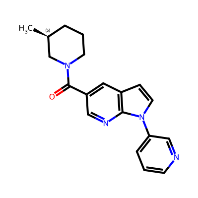 C[C@H]1CCCN(C(=O)c2cnc3c(ccn3-c3cccnc3)c2)C1